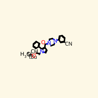 CC(C)(C)[Si](C)(C)OCCn1ccc(C(=O)N2CCN(c3cccc(C#N)c3)CC2)c1-c1ccccc1